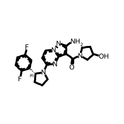 Nc1nn2ccc(N3CCC[C@@H]3c3cc(F)ccc3F)nc2c1C(=O)N1CCC(O)C1